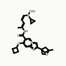 C/C(=C\C=C/N(C=O)C1CC1)NC(=O)c1cn2cc(C34COC(C)(C3)C4)nc2cc1OC1CCC1